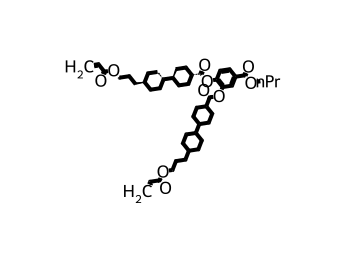 C=CC(=O)OCCCC1CCC(C2CCC(C(=O)Oc3cc(C(=O)OCCC)ccc3OC(=O)[C@H]3CC[C@H]([C@H]4CC[C@H](CCCOC(=O)C=C)CC4)CC3)CC2)CC1